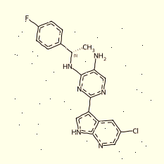 C[C@H](Nc1nc(-c2c[nH]c3ncc(Cl)cc23)ncc1N)c1ccc(F)cc1